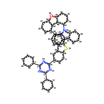 c1ccc(-c2nc(-c3ccccc3)nc(-c3ccc4sc5ccc(-c6cccc7oc8cccc(-n9c%10ccccc%10c%10ccccc%109)c8c67)cc5c4c3)n2)cc1